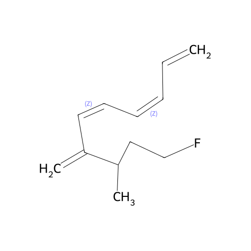 C=C/C=C\C=C/C(=C)C(C)CCF